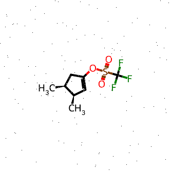 C[C@@H]1C=C(OS(=O)(=O)C(F)(F)F)C[C@@H]1C